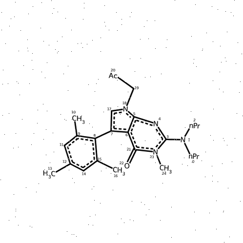 CCCN(CCC)c1nc2c(c(-c3c(C)cc(C)cc3C)cn2CC(C)=O)c(=O)n1C